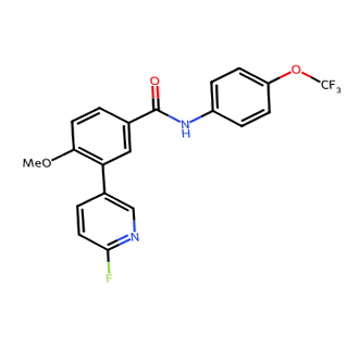 COc1ccc(C(=O)Nc2ccc(OC(F)(F)F)cc2)cc1-c1ccc(F)nc1